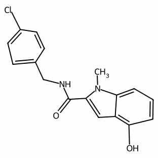 Cn1c(C(=O)NCc2ccc(Cl)cc2)cc2c(O)cccc21